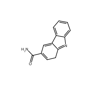 NC(=O)C1=CCC2=Nc3ccccc3C2=C1